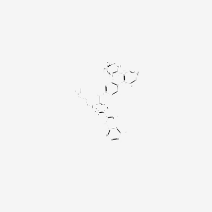 CCCCn1nc(C(=O)Cc2ccccc2)nc1Cc1ccc(-c2ccncc2-c2nnn[nH]2)cc1